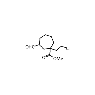 COC(=O)C1(CCCl)CCCCC(C=O)C1